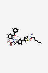 CCCCCC(=O)N(C)Cc1cc(-c2ccc(CC(Nc3ccccc3C(=O)c3ccccc3)C(=O)OC)cc2)cs1